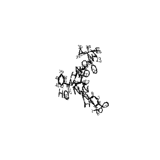 CC1(C)OC(=O)c2ccc(Nc3ncc(-c4nnc(OC(=O)N5CC(F)(F)C5C5CC5)o4)c(N[C@H](CO)c4ccccc4)n3)cc21